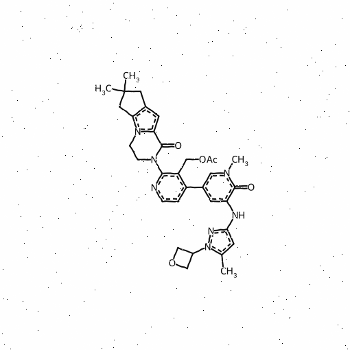 CC(=O)OCc1c(-c2cc(Nc3cc(C)n(C4COC4)n3)c(=O)n(C)c2)ccnc1N1CCn2c(cc3c2CC(C)(C)C3)C1=O